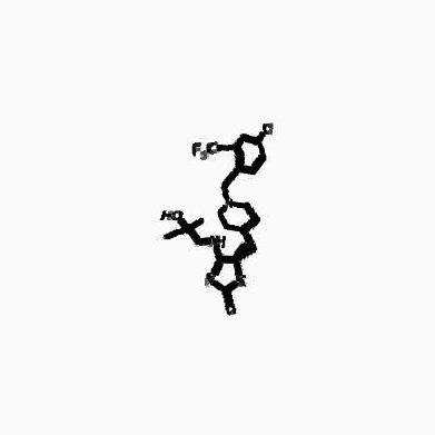 CC(C)(O)CNC1=NC(=O)SC1=CC1CCN(Cc2ccc(Cl)cc2C(F)(F)F)CC1